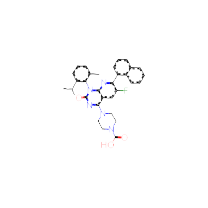 Cc1cccc(C(C)C)c1-n1c(=O)nc(N2CCN(C(=O)O)CC2)c2cc(F)c(-c3cccc4ccccc34)nc21